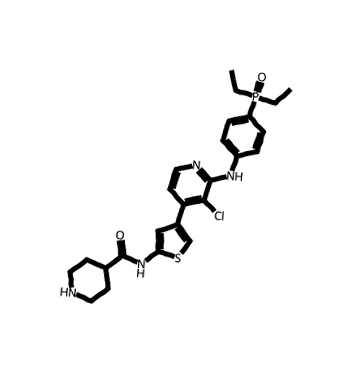 CCP(=O)(CC)c1ccc(Nc2nccc(-c3csc(NC(=O)C4CCNCC4)c3)c2Cl)cc1